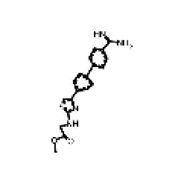 COC(=O)CNc1nc(-c2ccc(-c3ccc(C(=N)N)cc3)cc2)cs1